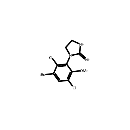 COc1c(Cl)cc(C(C)(C)C)c(Cl)c1N1CCNC1=N